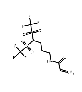 C=CC(=O)NCCCC(S(=O)(=O)C(F)(F)F)S(=O)(=O)C(F)(F)F